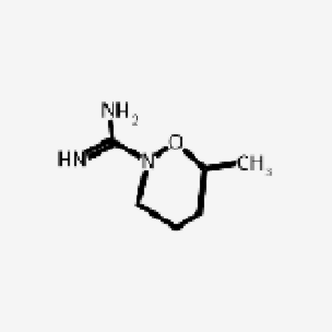 CC1CCCN(C(=N)N)O1